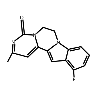 Cc1cc2n(c(=O)n1)CCn1c-2cc2c(F)cccc21